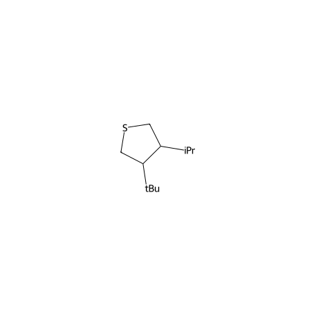 CC(C)C1CSCC1C(C)(C)C